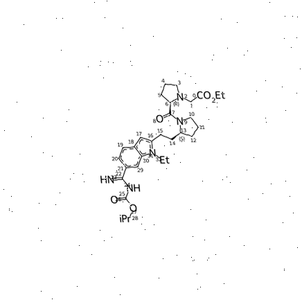 CCOC(=O)CN1CCC[C@@H]1C(=O)N1CCC[C@H]1CCc1cc2ccc(C(=N)NC(=O)OC(C)C)cc2n1CC